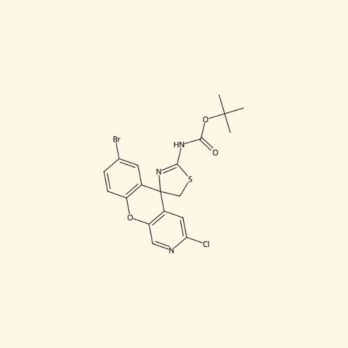 CC(C)(C)OC(=O)NC1=NC2(CS1)c1cc(Br)ccc1Oc1cnc(Cl)cc12